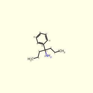 CCCC(N)(CCC)c1ccccc1